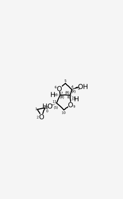 C1CO1.O[C@@H]1CO[C@H]2[C@@H]1OC[C@@H]2O